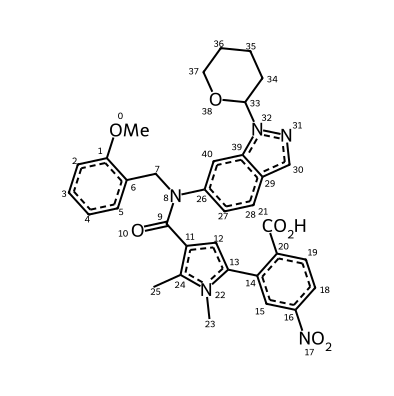 COc1ccccc1CN(C(=O)c1cc(-c2cc([N+](=O)[O-])ccc2C(=O)O)n(C)c1C)c1ccc2cnn(C3CCCCO3)c2c1